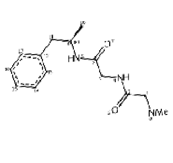 CNCC(=O)NCC(=O)N[C@H](C)Cc1ccccc1